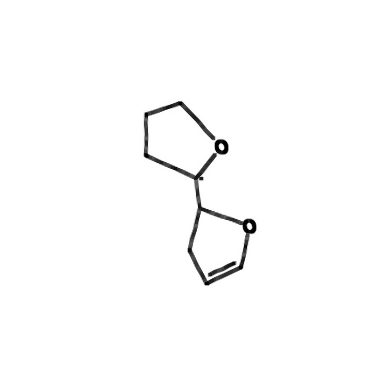 C1=COC([C]2CCCO2)C1